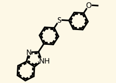 COc1cccc(Sc2ccc(-c3nc4ccccc4[nH]3)cc2)c1